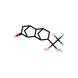 CC(O)(C1CC2CC1C1C3CC(CC3=O)C21)C(F)(F)F